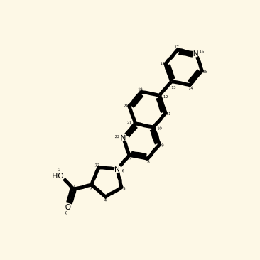 O=C(O)C1CCN(c2ccc3cc(-c4ccncc4)ccc3n2)C1